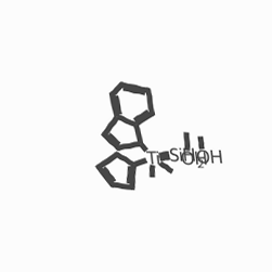 CO.CO.[CH3][Ti]([CH3])(=[SiH2])([C]1=CC=CC1)[CH]1C=Cc2ccccc21